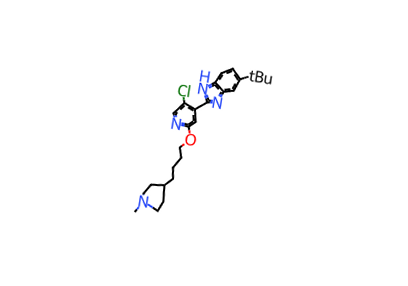 CN1CCC(CCCCOc2cc(-c3nc4cc(C(C)(C)C)ccc4[nH]3)c(Cl)cn2)CC1